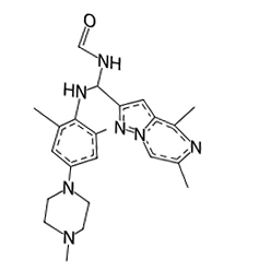 Cc1cn2nc(C(NC=O)Nc3c(C)cc(N4CCN(C)CC4)cc3C)cc2c(C)n1